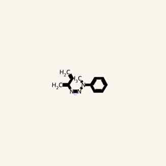 C=CC(=C)/N=N\N(C)c1ccccc1